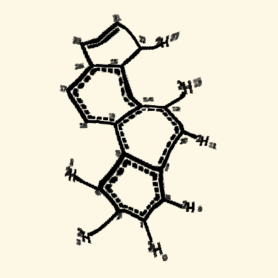 [2H]c1c([2H])c([2H])c2c(c1[2H])c([2H])c([2H])c1c3c(ccc12)C=CC3[2H]